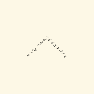 [Ca+2].[Ca+2].[O-2].[O-2].[O-2].[O-2].[O-2].[O-2].[O-2].[O-2].[O-2].[Ti+4].[Ti+4].[Y+3].[Y+3]